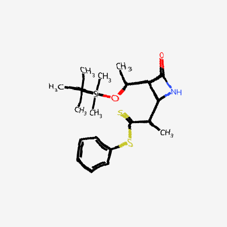 CC(O[Si](C)(C)C(C)(C)C)C1C(=O)NC1C(C)C(=S)Sc1ccccc1